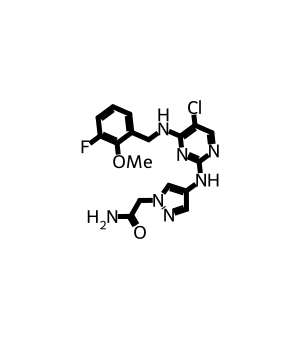 COc1c(F)cccc1CNc1nc(Nc2cnn(CC(N)=O)c2)ncc1Cl